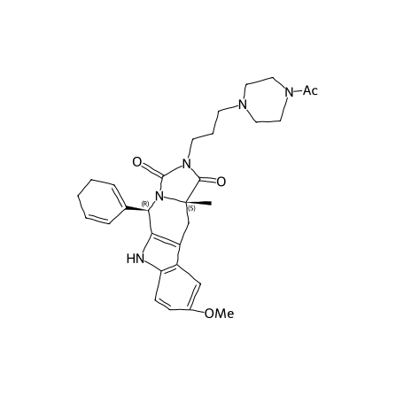 COc1ccc2[nH]c3c(c2c1)C[C@@]1(C)C(=O)N(CCCN2CCN(C(C)=O)CC2)C(=O)N1[C@@H]3C1=CCCC=C1